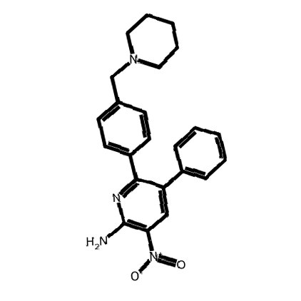 Nc1nc(-c2ccc(CN3CCCCC3)cc2)c(-c2ccccc2)cc1[N+](=O)[O-]